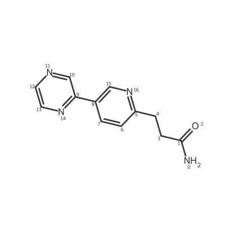 NC(=O)CCc1ccc(-c2cnccn2)cn1